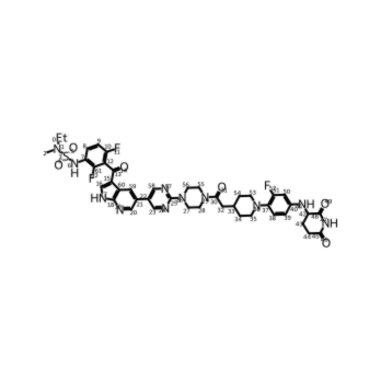 CCN(C)S(=O)(=O)Nc1ccc(F)c(C(=O)c2c[nH]c3ncc(-c4cnc(N5CCN(C(=O)CC6CCN(c7ccc(NC8CCC(=O)NC8=O)cc7F)CC6)CC5)nc4)cc23)c1F